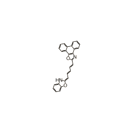 C(=CC=C1Nc2ccccc2O1)C=Cc1nc2c3ccccc3c3ccccc3c2o1